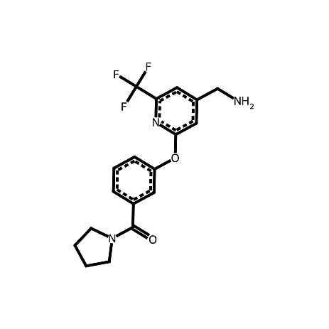 NCc1cc(Oc2cccc(C(=O)N3CCCC3)c2)nc(C(F)(F)F)c1